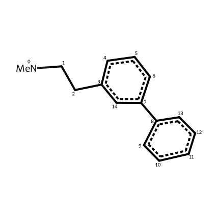 CNCCc1cccc(-c2ccccc2)c1